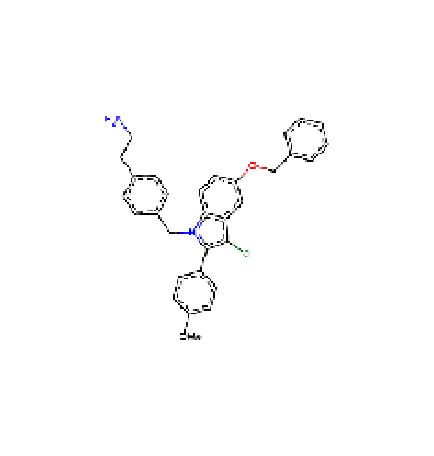 COc1ccc(-c2c(Cl)c3cc(OCc4ccccc4)ccc3n2Cc2ccc(CCN)cc2)cc1